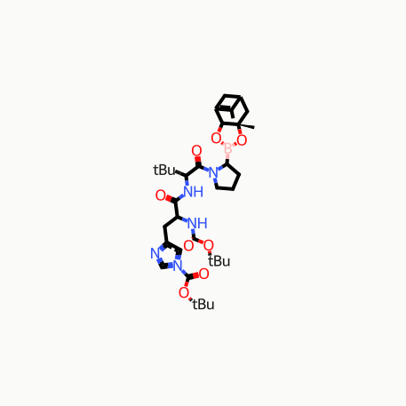 CC1=C2CC1C[C@]1(C)OB(C3CCCN3C(=O)C(NC(=O)C(Cc3cn(C(=O)OC(C)(C)C)cn3)NC(=O)OC(C)(C)C)C(C)(C)C)OC21